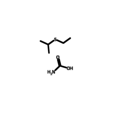 CCSC(C)C.NC(=O)O